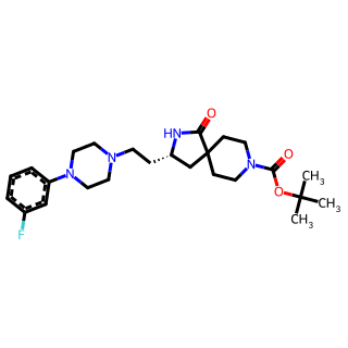 CC(C)(C)OC(=O)N1CCC2(CC1)C[C@H](CCN1CCN(c3cccc(F)c3)CC1)NC2=O